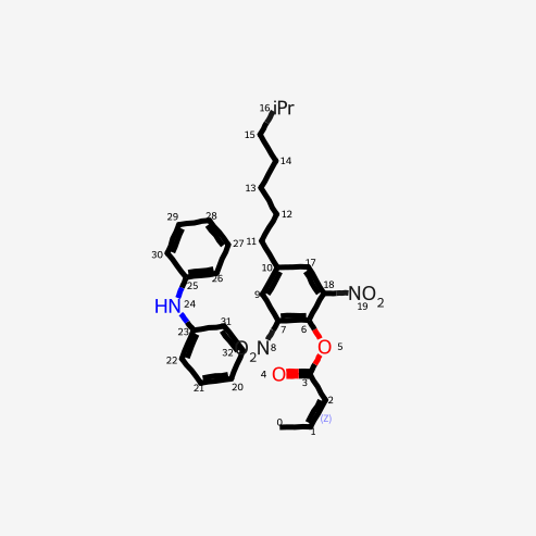 C/C=C\C(=O)Oc1c([N+](=O)[O-])cc(CCCCCC(C)C)cc1[N+](=O)[O-].c1ccc(Nc2ccccc2)cc1